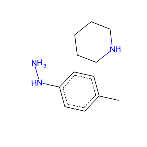 C1CCNCC1.Cc1ccc(NN)cc1